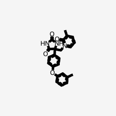 Cc1cccc(Oc2ccc(C3(Cn4cccc(C)c4=O)NC(=O)NC3=O)cc2)c1